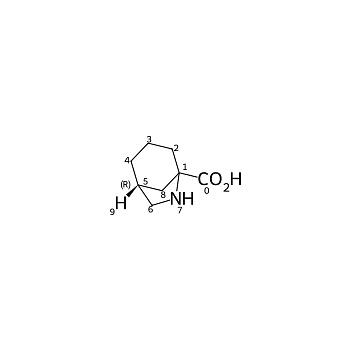 O=C(O)C12CCC[C@@H](CN1)C2